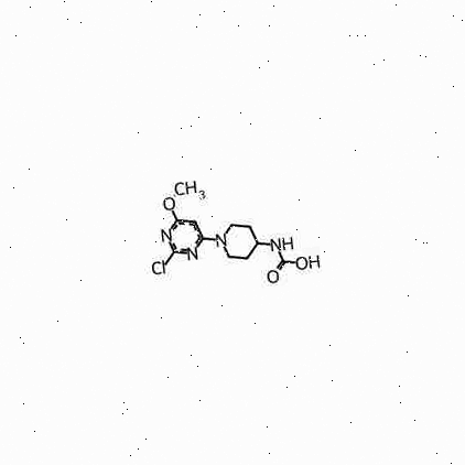 COc1cc(N2CCC(NC(=O)O)CC2)nc(Cl)n1